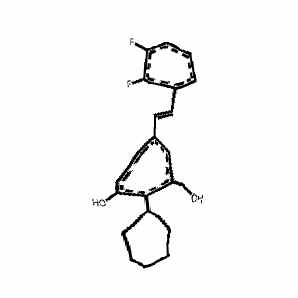 Oc1cc(C=Cc2cccc(F)c2F)cc(O)c1C1CCCCC1